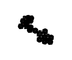 c1ccc(-c2nc(-c3ccc(-c4ccc(-c5cccc6c5-c5ccccc5C65c6ccccc6Oc6ccc(-c7ccccc7-c7nc(-c8ccccc8)nc(-c8ccc9ccccc9c8)n7)cc65)cc4)cc3)nc(-c3ccccc3-c3ccc4c(c3)C3(c5ccccc5O4)c4ccccc4-c4ccccc43)n2)cc1